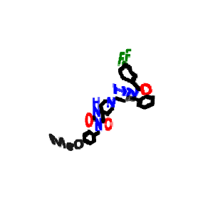 COc1ccc(CN2C(=O)NC3(CCN(CC[C@H](NC(=O)C4CCC(F)(F)CC4)c4ccccc4)CC3)C2=O)cc1